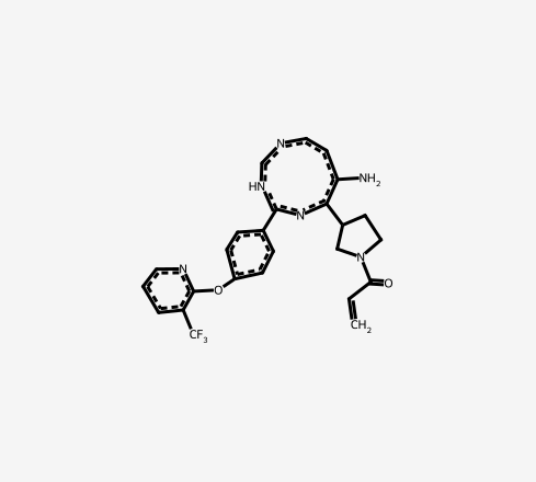 C=CC(=O)N1CCC(c2nc(-c3ccc(Oc4ncccc4C(F)(F)F)cc3)[nH]cnccc2N)C1